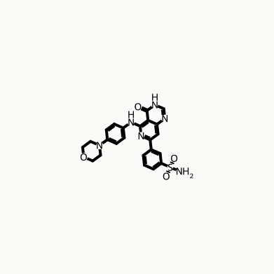 NS(=O)(=O)c1cccc(-c2cc3nc[nH]c(=O)c3c(Nc3ccc(N4CCOCC4)cc3)n2)c1